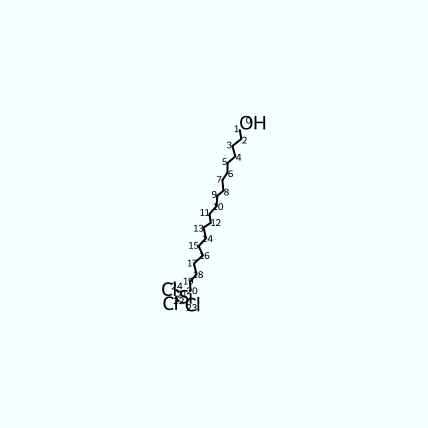 OCCCCCCCCCCCCCCCCCCCC[Si](Cl)(Cl)Cl